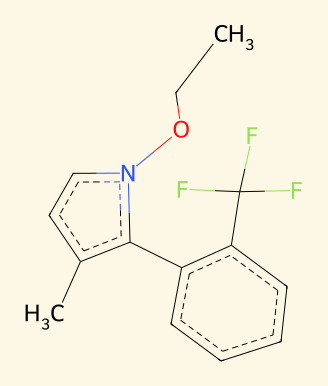 CCOn1ccc(C)c1-c1ccccc1C(F)(F)F